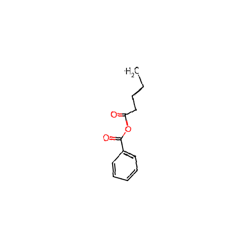 [CH2]CCCC(=O)OC(=O)c1ccccc1